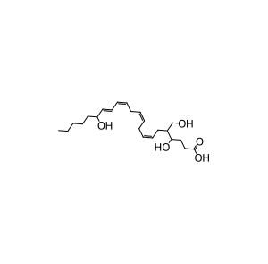 CCCCCC(O)/C=C/C=C\C/C=C\C/C=C\CC(CO)C(O)CCC(=O)O